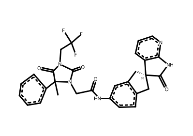 CC1(c2ccccc2)C(=O)N(CC(F)(F)F)C(=O)N1CC(=O)Nc1ccc2c(c1)C[C@@]1(C2)C(=O)Nc2ncccc21